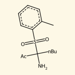 CCCCC(N)(C(C)=O)S(=O)(=O)c1ccccc1C